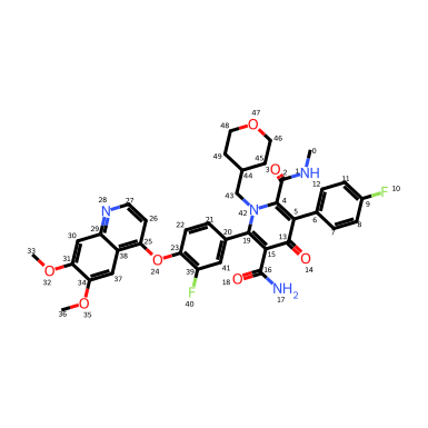 CNC(=O)c1c(-c2ccc(F)cc2)c(=O)c(C(N)=O)c(-c2ccc(Oc3ccnc4cc(OC)c(OC)cc34)c(F)c2)n1CC1CCOCC1